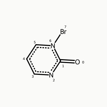 O=c1ncccn1Br